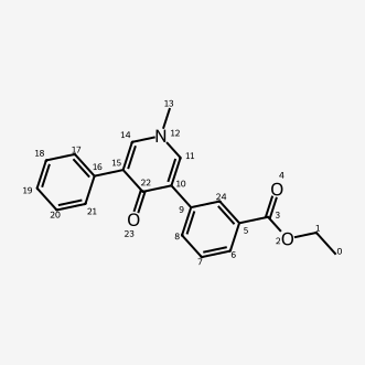 CCOC(=O)c1cccc(-c2cn(C)cc(-c3ccccc3)c2=O)c1